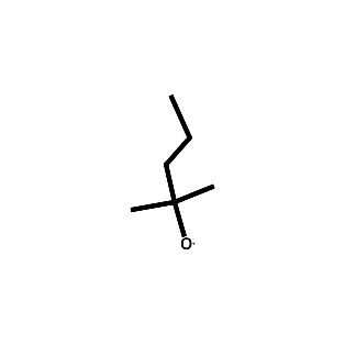 CCCC(C)(C)[O]